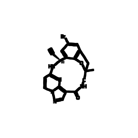 C#C[C@H]1Nc2ccn3ncc(c3n2)C(=O)NCC2(C)Cc3cc(Br)cc1c3O2